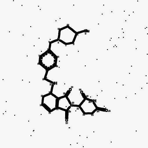 CC(C)(C)C1CCN(Cc2ccc(CNC3CC=CC4=C3C(=O)N(C3CCC(=O)NC3=O)C4=O)cc2)CC1